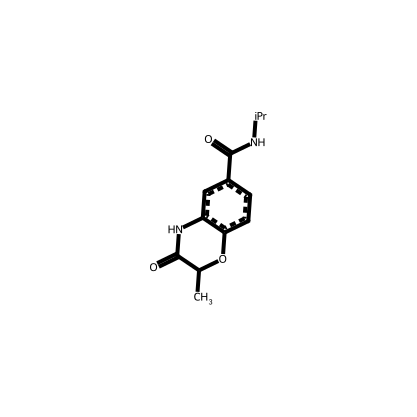 CC(C)NC(=O)c1ccc2c(c1)NC(=O)C(C)O2